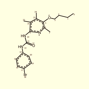 CCCCOc1c(C)nc(NC(=O)Nc2ccc(Br)cc2)c(C)c1C